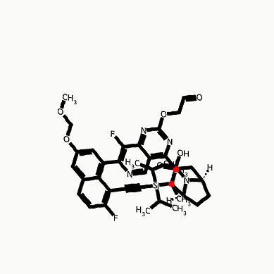 COCOc1cc(-c2ncc3c(N4C[C@H]5CC[C@@H](C4)N5C(=O)O)nc(OCC=O)nc3c2F)c2c(C#C[Si](C(C)C)(C(C)C)C(C)C)c(F)ccc2c1